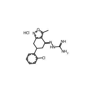 Cc1onc2c1C(=NNC(=N)N)CC(c1ccccc1Cl)C2.Cl